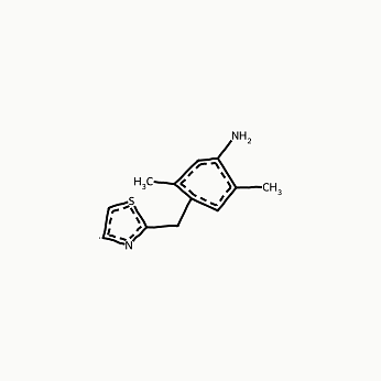 Cc1cc(Cc2n[c]cs2)c(C)cc1N